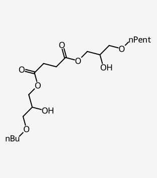 CCCCCOCC(O)COC(=O)CCC(=O)OCC(O)COCCCC